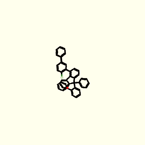 Clc1ccc(-c2ccccc2)cc1-c1cccc2c1-c1ccccc1C2(c1ccccc1)c1ccccc1-c1ccccc1